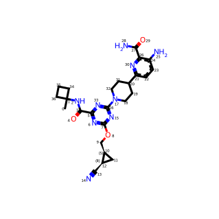 CC1(NC(=O)c2nc(OC[C@H]3C[C@H]3C#N)nc(N3CCC(c4ccc(N)c(C(N)=O)n4)CC3)n2)CCC1